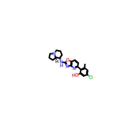 Cc1cc(Cl)cc(O)c1-c1ccc2oc(N[C@@H]3CCCN4CCC[C@@H]34)nc2n1